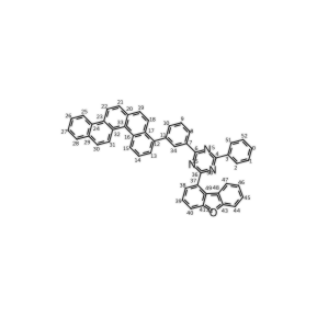 c1ccc(-c2nc(-c3cccc(-c4cccc5c4ccc4ccc6c7ccccc7ccc6c45)c3)nc(-c3cccc4oc5ccccc5c34)n2)cc1